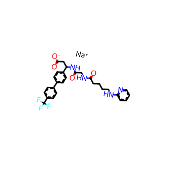 O=C([O-])CC(NC(=O)CNC(=O)CCCCNc1ccccn1)c1ccc(-c2ccc(C(F)(F)F)cc2)cc1.[Na+]